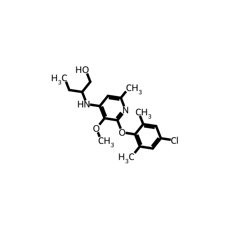 CCC(CO)Nc1cc(C)nc(Oc2c(C)cc(Cl)cc2C)c1OC